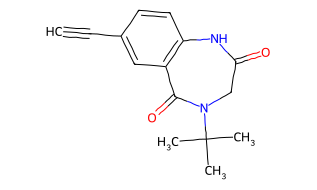 C#Cc1ccc2c(c1)C(=O)N(C(C)(C)C)CC(=O)N2